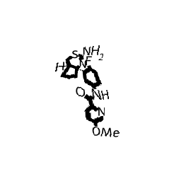 COc1ccc(C(=O)Nc2ccc(F)c([C@]34CCC[C@H]3CSC(N)=N4)c2)nc1